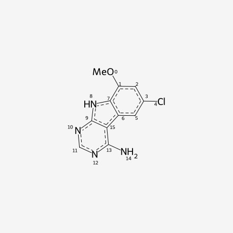 COc1cc(Cl)cc2c1[nH]c1ncnc(N)c12